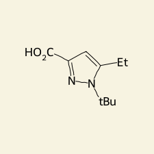 CCc1cc(C(=O)O)nn1C(C)(C)C